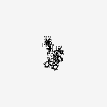 C=C[C@@H]1C[C@]1(NC(=O)[C@@H]1C[C@@]2(CN1C(=O)[C@@H](NC(=O)[C@@H](NC(=O)[C@@H]1CCCCN1C(C)C)C1(C)CCCCC1)C1(C)CCOCC1)C(C)(C)C21CCC1)C(=O)NS(=O)(=O)N(CC)CC